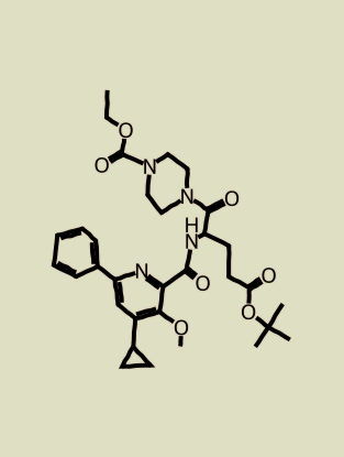 CCOC(=O)N1CCN(C(=O)C(CCC(=O)OC(C)(C)C)NC(=O)c2nc(-c3ccccc3)cc(C3CC3)c2OC)CC1